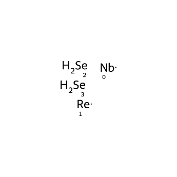 [Nb].[Re].[SeH2].[SeH2]